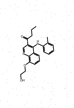 CCCC(=O)c1cnc2c(OCCO)cccc2c1Nc1ccccc1C